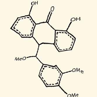 COc1ccc(C(OC)C2c3cccc(O)c3C(=O)c3c(O)cccc32)cc1OC